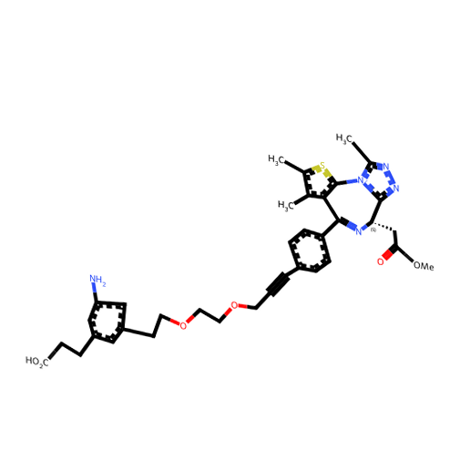 COC(=O)C[C@@H]1N=C(c2ccc(C#CCOCCOCCc3cc(N)cc(CCC(=O)O)c3)cc2)c2c(sc(C)c2C)-n2c(C)nnc21